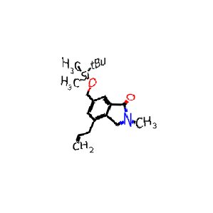 C=CCc1cc(CO[Si](C)(C)C(C)(C)C)cc2c1CN(C)C2=O